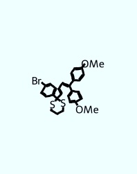 COc1ccc(C(=CC=CC2(c3ccc(Br)cc3)SCCCS2)c2ccc(OC)cc2)cc1